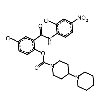 O=C(Nc1ccc([N+](=O)[O-])cc1Cl)c1cc(Cl)ccc1OC(=O)N1CCC(N2CCCCC2)CC1